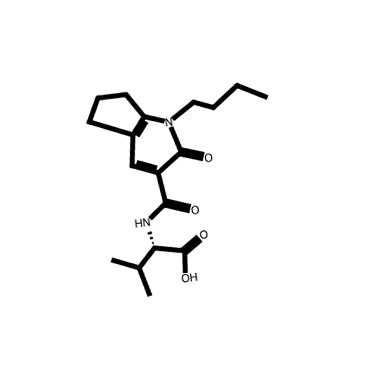 CCCCn1c2c(cc(C(=O)N[C@H](C(=O)O)C(C)C)c1=O)CCC2